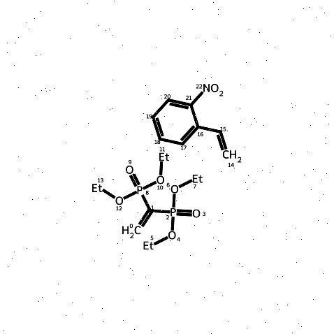 C=C(P(=O)(OCC)OCC)P(=O)(OCC)OCC.C=Cc1ccccc1[N+](=O)[O-]